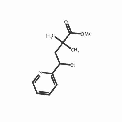 CCC(CC(C)(C)C(=O)OC)c1ccccn1